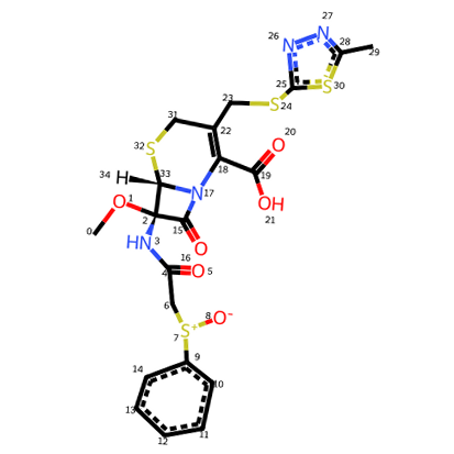 CO[C@@]1(NC(=O)C[S+]([O-])c2ccccc2)C(=O)N2C(C(=O)O)=C(CSc3nnc(C)s3)CS[C@H]21